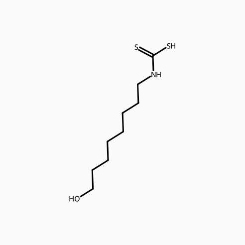 OCCCCCCCCNC(=S)S